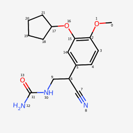 COc1ccc(C(C#N)CNC(N)=O)cc1OC1CCCC1